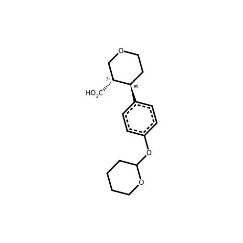 O=C(O)[C@@H]1COCC[C@H]1c1ccc(OC2CCCCO2)cc1